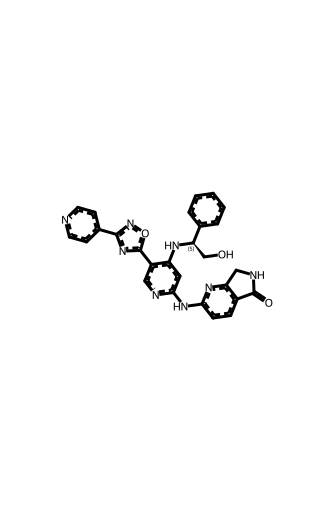 O=C1NCc2nc(Nc3cc(N[C@H](CO)c4ccccc4)c(-c4nc(-c5ccncc5)no4)cn3)ccc21